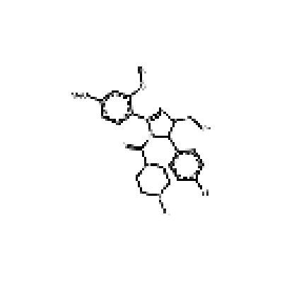 CCOc1cc(OC)ccc1C1=NC(CC(C)C)C(c2ccc(Cl)cc2)N1C(=O)N1CCN(C(C)=O)CC1